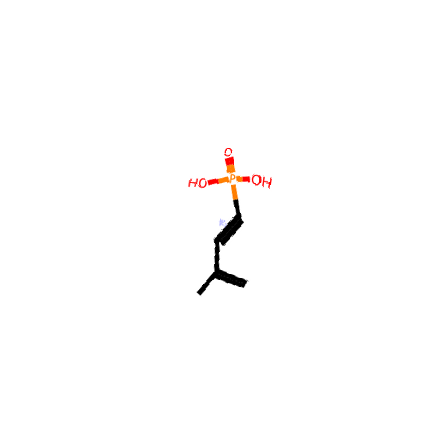 C=C(C)/C=C/P(=O)(O)O